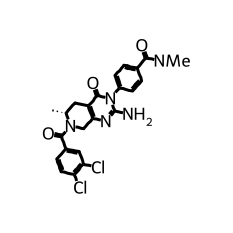 CNC(=O)c1ccc(-n2c(N)nc3c(c2=O)C[C@@H](C)N(C(=O)c2ccc(Cl)c(Cl)c2)C3)cc1